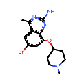 Cc1nc(N)nc2c(OC3CCN(C)CC3)cc(Br)cc12